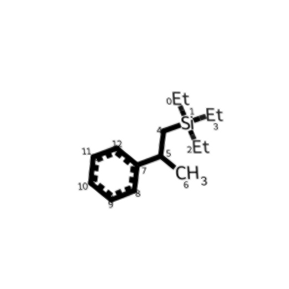 CC[Si](CC)(CC)CC(C)c1ccccc1